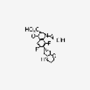 Cl.O=C(O)c1cn(C2CC2)c2c(F)c(N3CC4NCCOC4C3)c(F)cc2c1=O